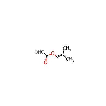 CC(C)=COC(=O)C=O